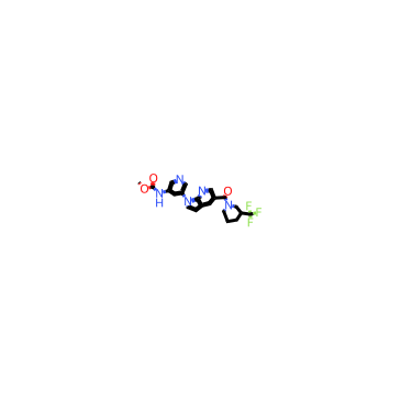 COC(=O)Nc1cncc(-n2ccc3cc(C(=O)N4CCCC(C(F)(F)F)C4)cnc32)c1